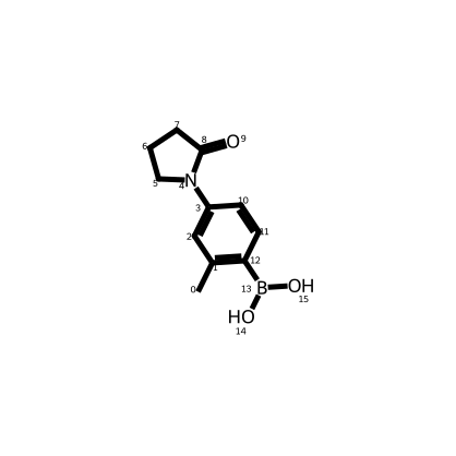 Cc1cc(N2CCCC2=O)ccc1B(O)O